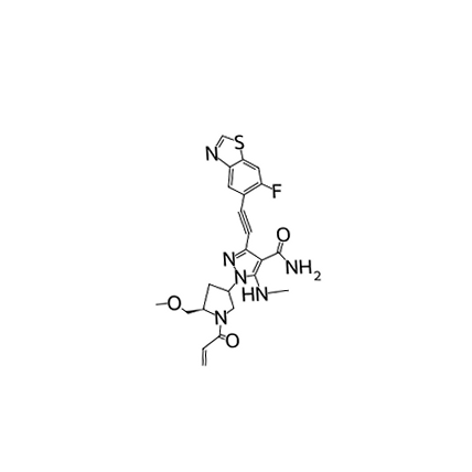 C=CC(=O)N1CC(n2nc(C#Cc3cc4ncsc4cc3F)c(C(N)=O)c2NC)C[C@@H]1COC